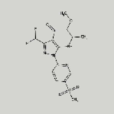 COCC(C)Nc1c(C=O)c(C(F)F)nn1-c1ccc(S(C)(=O)=O)cn1